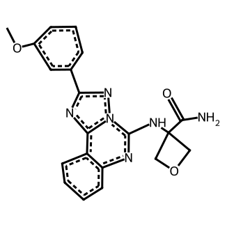 COc1cccc(-c2nc3c4ccccc4nc(NC4(C(N)=O)COC4)n3n2)c1